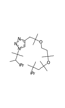 CC(C)C(C)C(C)(C)n1cc(CC(C)(C)OCCC(C)(C)OC(C)(C)CC(C)(C)C(C)C)nn1